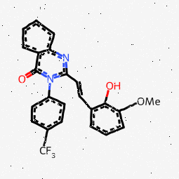 COc1cccc(/C=C/c2nc3ccccc3c(=O)n2-c2ccc(C(F)(F)F)cc2)c1O